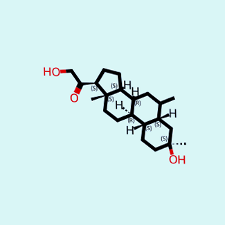 CC1C[C@@H]2[C@H](CC[C@]3(C)[C@@H](C(=O)CO)CC[C@@H]23)[C@H]2CC[C@](C)(O)C[C@@H]12